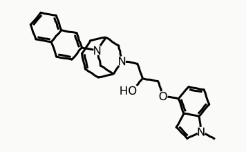 Cn1ccc2c(OCC(O)CN3CC4CC=CCC3CN4c3ccc4ccccc4c3)cccc21